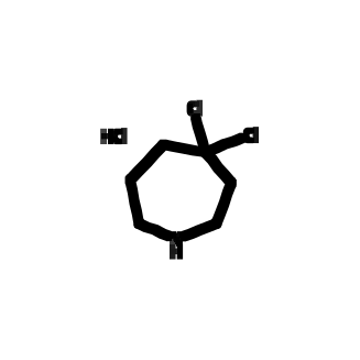 Cl.ClC1(Cl)CCCNCC1